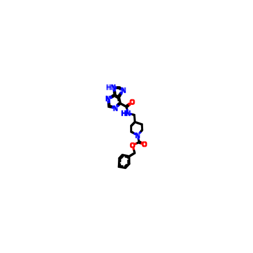 O=C(NCC1CCN(C(=O)OCc2ccccc2)CC1)c1ncnc2[nH]cnc12